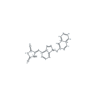 O=C1NC(=Cc2cccc3c2ccn3Cc2ccc3ccccc3n2)C(=O)S1